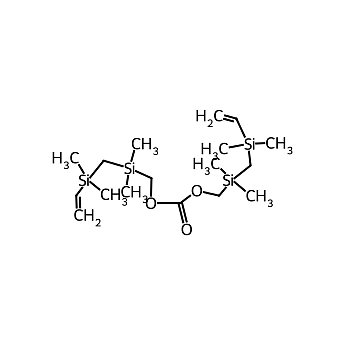 C=C[Si](C)(C)C[Si](C)(C)COC(=O)OC[Si](C)(C)C[Si](C)(C)C=C